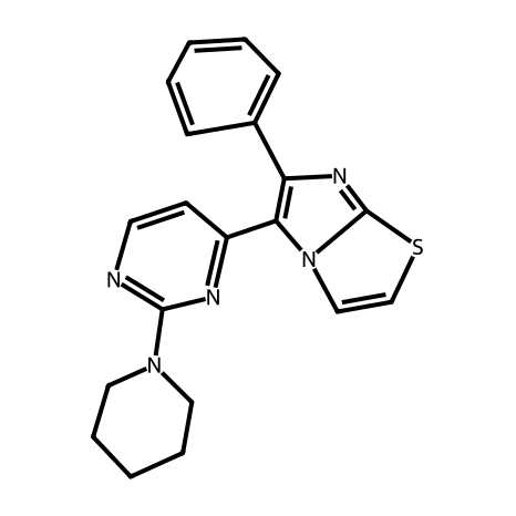 c1ccc(-c2nc3sccn3c2-c2ccnc(N3CCCCC3)n2)cc1